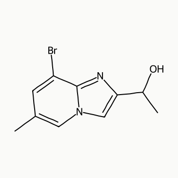 Cc1cc(Br)c2nc(C(C)O)cn2c1